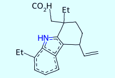 C=CC1CCC(CC)(CC(=O)O)c2[nH]c3c(CC)cccc3c21